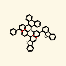 c1ccc(-c2ccc(-c3c(N(c4cccc(-c5cccc6c5oc5ccccc56)c4)c4ccccc4-c4cccc5c4sc4ccccc45)c4ccccc4c4ccccc34)cc2)cc1